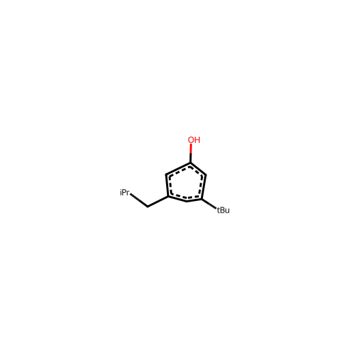 CC(C)Cc1cc(O)cc(C(C)(C)C)c1